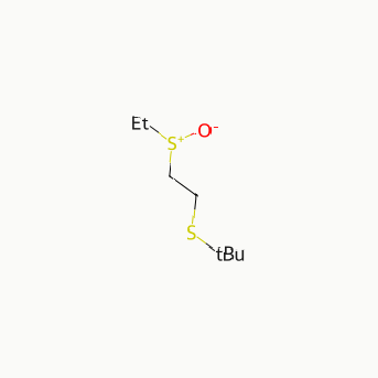 [CH2]C[S+]([O-])CCSC(C)(C)C